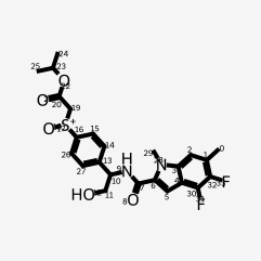 Cc1cc2c(cc(C(=O)NC(CO)c3ccc([S+]([O-])CC(=O)OC(C)C)cc3)n2C)c(F)c1F